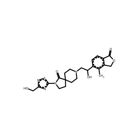 Cc1c(C(O)CN2CCC3(CC2)CCN(c2nc(CO)ns2)C3=O)ccc2c1COC2=O